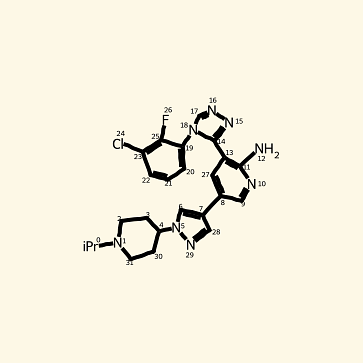 CC(C)N1CCC(n2cc(-c3cnc(N)c(-c4nncn4-c4cccc(Cl)c4F)c3)cn2)CC1